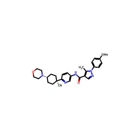 COc1ccc(-n2ncc(C(=O)Nc3ccc([C@]4(C#N)CC[C@@H](N5CCOCC5)CC4)nc3)c2C)cc1